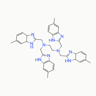 CC1=CC2NC(CN(CCN(CC3=NC4C=CC(C)=CC4N3)Cc3nc4ccc(C)cc4[nH]3)Cc3nc4cc(C)ccc4[nH]3)=NC2C=C1